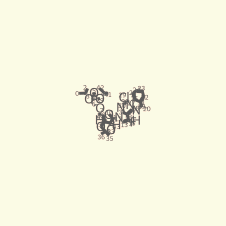 CC(C)OP(=O)(COC[C@H]1O[C@@H](n2cc(F)c3c(N[C@@H](C)c4ccccc4)nc(Cl)nc32)[C@@H]2OC(C)(C)O[C@@H]21)OC(C)C